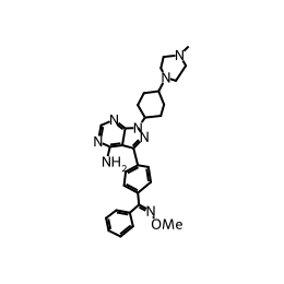 CON=C(c1ccccc1)c1ccc(-c2nn(C3CCC(N4CCN(C)CC4)CC3)c3ncnc(N)c23)cc1